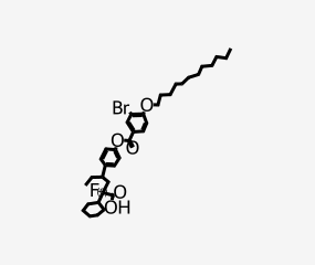 CCCCCCCCCCCCOc1ccc(C(=O)Oc2ccc(C(CC)C[C@@](F)(C(=O)O)C3CCCCC3)cc2)cc1Br